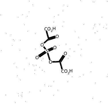 O=C(O)C(=O)OS(=O)(=O)OC(=O)C(=O)O